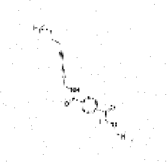 CCCCC#CC#CCNC(=O)c1ccc(C(=O)NOCN)cc1